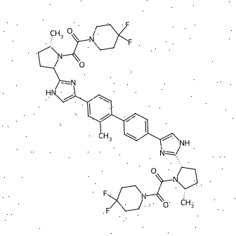 Cc1cc(-c2c[nH]c(C3CC[C@H](C)N3C(=O)C(=O)N3CCC(F)(F)CC3)n2)ccc1-c1ccc(-c2c[nH]c([C@@H]3CC[C@H](C)N3C(=O)C(=O)N3CCC(F)(F)CC3)n2)cc1